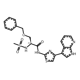 CS(=O)(=O)N[C@@H](COCc1ccccc1)C(=O)Nc1nc(-c2c[nH]c3ncccc23)cs1